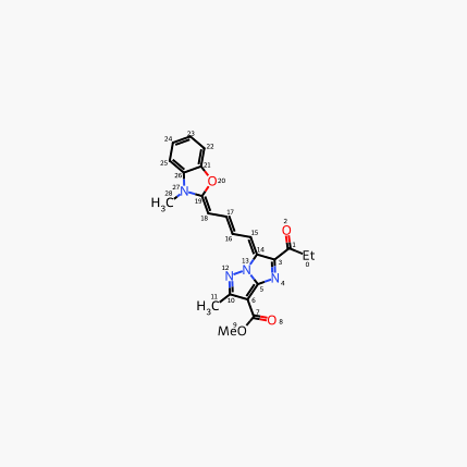 CCC(=O)c1nc2c(C(=O)OC)c(C)nn2\c1=C/C=C/C=C1\Oc2ccccc2N1C